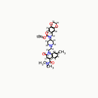 Cc1ccc2c(C(=O)N(C)C)cc(=O)n(CCN3CCC(N(Cc4ccc5c(c4)OCCO5)C(=O)OC(C)(C)C)CC3)c2c1